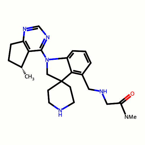 CNC(=O)CNCc1cccc2c1C1(CCNCC1)CN2c1ncnc2c1[C@H](C)CC2